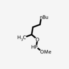 CCCCCCC(C)OPOC